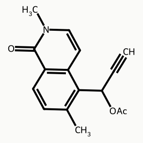 C#CC(OC(C)=O)c1c(C)ccc2c(=O)n(C)ccc12